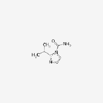 CC(C)c1nccn1C(N)=O